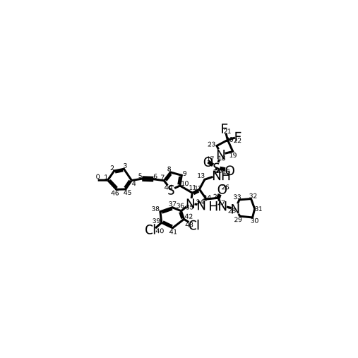 Cc1ccc(C#Cc2ccc(-c3c(CNS(=O)(=O)N4CC(F)(F)C4)c(C(=O)NN4CCCCC4)nn3-c3ccc(Cl)cc3Cl)s2)cc1